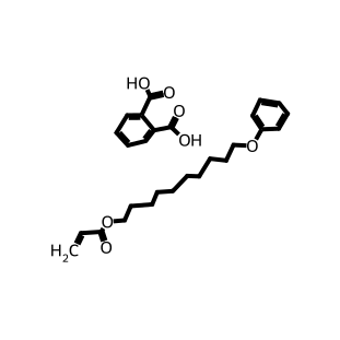 C=CC(=O)OCCCCCCCCCCOc1ccccc1.O=C(O)c1ccccc1C(=O)O